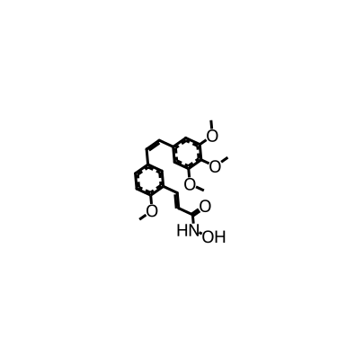 COc1ccc(/C=C\c2cc(OC)c(OC)c(OC)c2)cc1C=CC(=O)NO